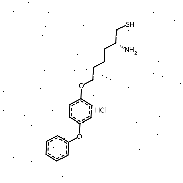 Cl.N[C@@H](CS)CCCCOc1ccc(Oc2ccccc2)cc1